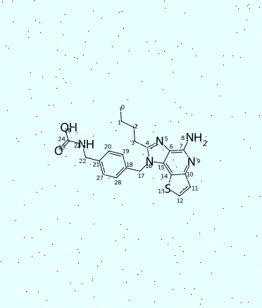 CCCCc1nc2c(N)nc3ccsc3c2n1Cc1ccc(CNC(=O)O)cc1